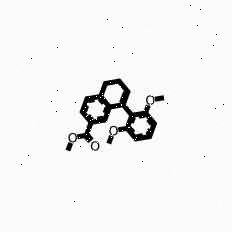 COC(=O)c1ccc2c(c1)C(c1c(OC)cccc1OC)=CCC2